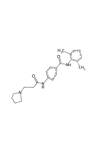 Cc1cccc(C)c1NC(=O)c1ccc(NC(=O)CCN2CCCC2)cc1